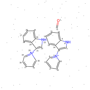 C=O.c1cc[n+](-c2c[nH]c3ccccc23)cc1.c1cc[n+](-c2c[nH]c3ccccc23)cc1